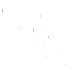 O=C(O)CC(=O)Oc1ccc(-c2ccc(F)cc2)c(F)c1